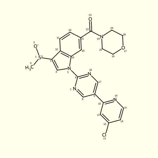 C[S+]([O-])c1cn(-c2ncc(-c3cc(Cl)ccn3)cn2)c2cc(C(=O)N3CCOCC3)ccc12